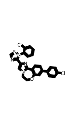 Clc1ccc(-c2ccc3c(c2)OCCn2cc(-c4ncnn4-c4ccccc4Cl)nc2-3)cc1